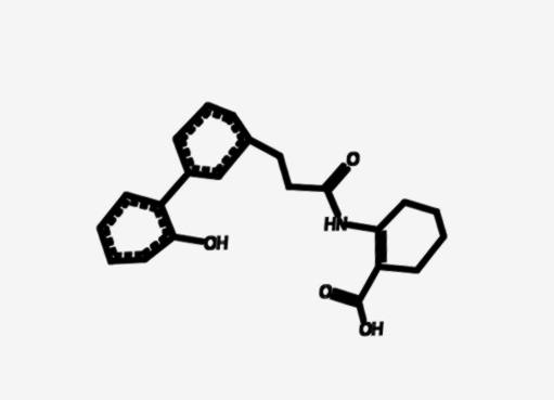 O=C(CCc1cccc(-c2ccccc2O)c1)NC1=C(C(=O)O)CCCC1